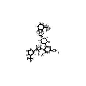 Cc1nc(C)c(-c2nc(-c3cccc(C(F)(F)F)c3)no2)c(C2CCN(C(=O)Nc3c(F)cccc3C(F)(F)F)CC2)n1